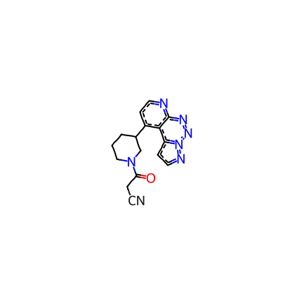 N#CCC(=O)N1CCCC(c2ccnc3nnn4nccc4c23)C1